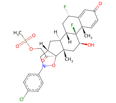 C[C@]12C=CC(=O)C=C1[C@@H](F)C[C@H]1[C@@H]3C[C@H]4CN(c5ccc(Cl)cc5)O[C@]4(C(=O)COS(C)(=O)=O)[C@@]3(C)C[C@H](O)[C@]12F